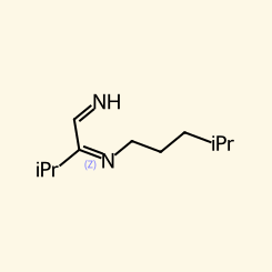 CC(C)CCC/N=C(\C=N)C(C)C